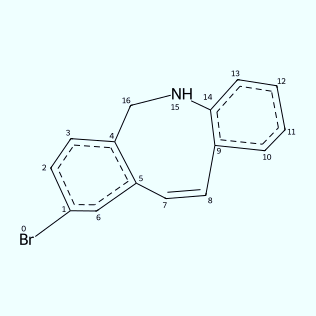 Brc1ccc2c(c1)C=Cc1ccccc1NC2